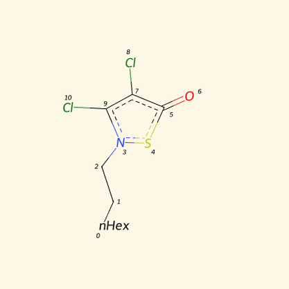 CCCCCCCCn1sc(=O)c(Cl)c1Cl